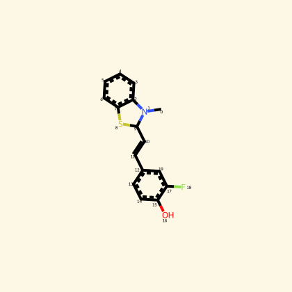 CN1c2ccccc2SC1/C=C/c1ccc(O)c(F)c1